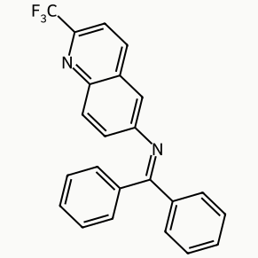 FC(F)(F)c1ccc2cc(N=C(c3ccccc3)c3ccccc3)ccc2n1